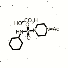 CC(=O)N1CCN(S(=O)(=O)NC2CCCCC2)CC1.O=C(O)O